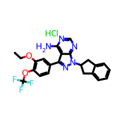 CCOc1cc(-c2nn(C3Cc4ccccc4C3)c3ncnc(N)c23)ccc1OC(F)(F)F.Cl